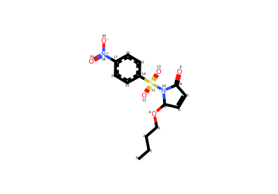 CCCCOC1C=CC(=O)N1S(=O)(=O)c1ccc([N+](=O)[O-])cc1